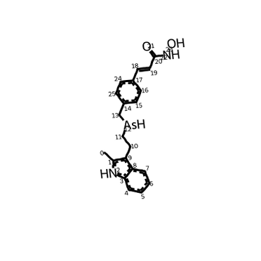 Cc1[nH]c2ccccc2c1CC[AsH]Cc1ccc(C=CC(=O)NO)cc1